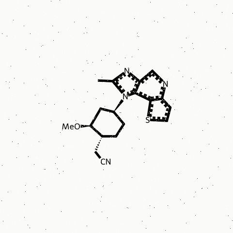 CO[C@H]1C[C@@H](n2c(C)nc3cnc4ccsc4c32)CC[C@@H]1CC#N